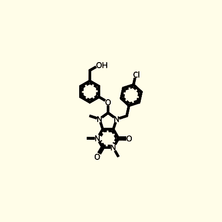 CN1c2c(c(=O)n(C)c(=O)n2C)N(Cc2ccc(Cl)cc2)C1Oc1cccc(CO)c1